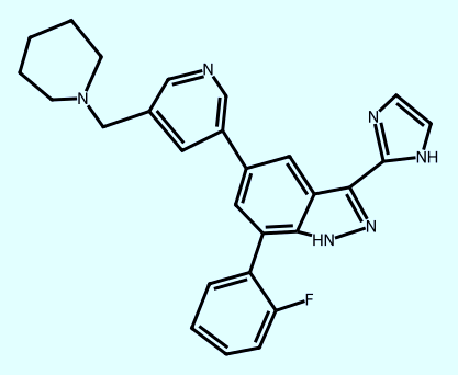 Fc1ccccc1-c1cc(-c2cncc(CN3CCCCC3)c2)cc2c(-c3ncc[nH]3)n[nH]c12